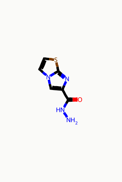 NNC(=O)c1cn2ccsc2n1